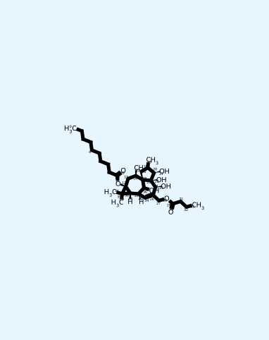 CCCCCCCCCC(=O)O[C@@]12C[C@@H](C)[C@]34CC(C)[C@H](O)[C@@]3(O)[C@H](O)C(COC(=O)CCC)=C[C@H](C4O)[C@@H]1C2(C)C